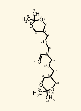 CC1(C)OCC(COCC(C=O)COCC2COC(C)(C)OC2)CO1